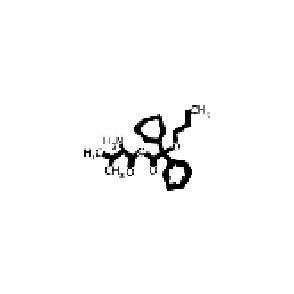 CCCCOC(C(=O)OC(=O)[C@H](N)C(C)C)(c1ccccc1)C1CCCCC1